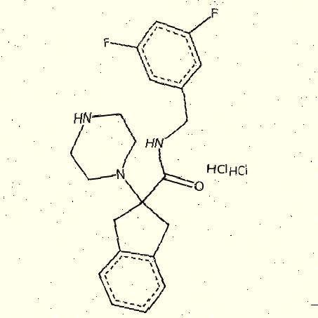 Cl.Cl.O=C(NCc1cc(F)cc(F)c1)C1(N2CCNCC2)Cc2ccccc2C1